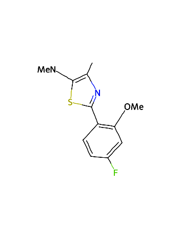 CNc1sc(-c2ccc(F)cc2OC)nc1C